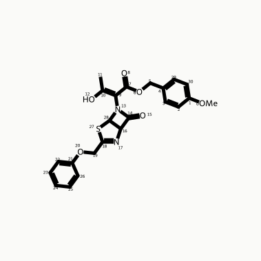 COc1ccc(COC(=O)C(=C(C)O)N2C(=O)C3N=C(COc4ccccc4)SC32)cc1